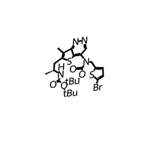 Cc1c(C[C@H](C)NC(=O)OC(C)(C)C)sc2c(N(Cc3ccc(Br)s3)C(=O)OC(C)(C)C)cnnc12